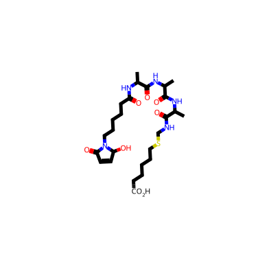 CC(NC(=O)CCCCCN1C(=O)C=CC1O)C(=O)NC(C)C(=O)NC(C)C(=O)NCSCCCCCC(=O)O